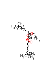 CC(C)(C)CCCCCC(=O)[O][Sn][O]C(=O)CCCCCC(C)(C)C.[CH3][Sn][CH3]